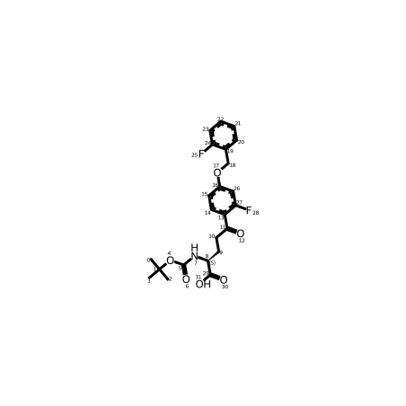 CC(C)(C)OC(=O)N[C@@H](CCC(=O)c1ccc(OCc2ccccc2F)cc1F)C(=O)O